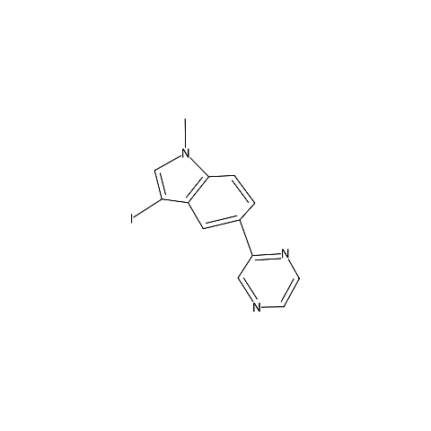 Cn1cc(I)c2cc(-c3cnccn3)ccc21